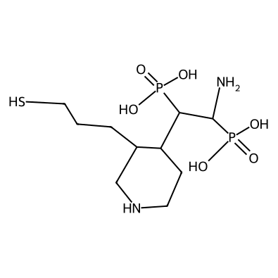 NC(C(C1CCNCC1CCCS)P(=O)(O)O)P(=O)(O)O